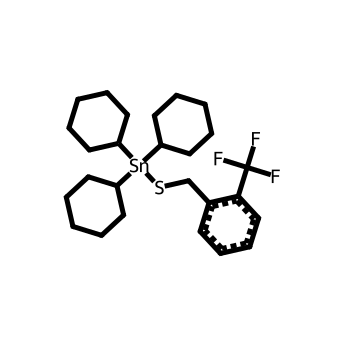 FC(F)(F)c1ccccc1C[S][Sn]([CH]1CCCCC1)([CH]1CCCCC1)[CH]1CCCCC1